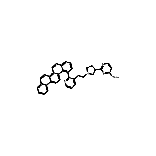 COc1ccnc(C2CCN(CCc3cccnc3-c3cccc4ccc5c6ccc7ccccc7c6ccc5c34)C2)n1